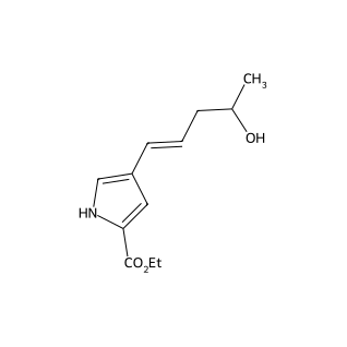 CCOC(=O)c1cc(C=CCC(C)O)c[nH]1